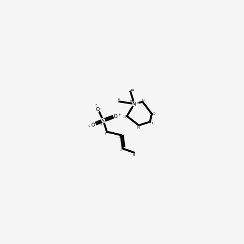 C/C=C/CS(=O)(=O)[O-].C[N+]1(C)CCCCC1